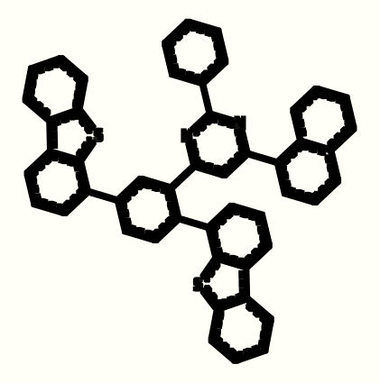 c1ccc(-c2nc(-c3cc(-c4cccc5c4sc4ccccc45)ccc3-c3cccc4c3sc3ccccc34)cc(-c3cccc4ccccc34)n2)cc1